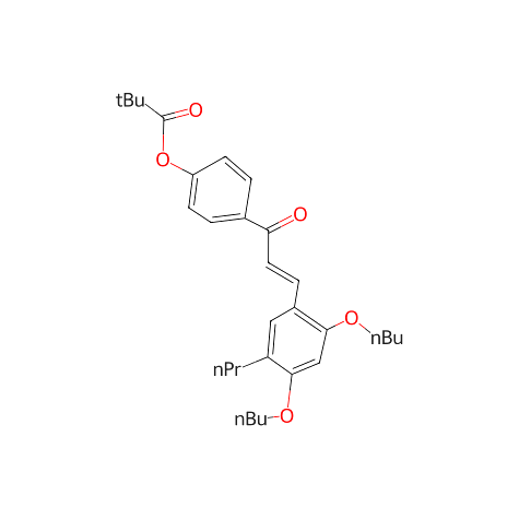 CCCCOc1cc(OCCCC)c(CCC)cc1C=CC(=O)c1ccc(OC(=O)C(C)(C)C)cc1